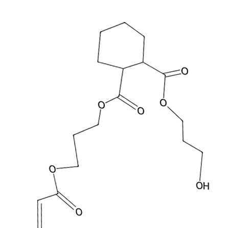 C=CC(=O)OCCCOC(=O)C1CCCCC1C(=O)OCCCO